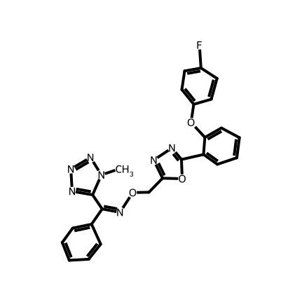 Cn1nnnc1/C(=N\OCc1nnc(-c2ccccc2Oc2ccc(F)cc2)o1)c1ccccc1